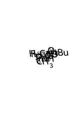 Cc1cc(F)ccc1N[C@@H]1CCN(C(=O)OC(C)(C)C)C[C@@H]1C